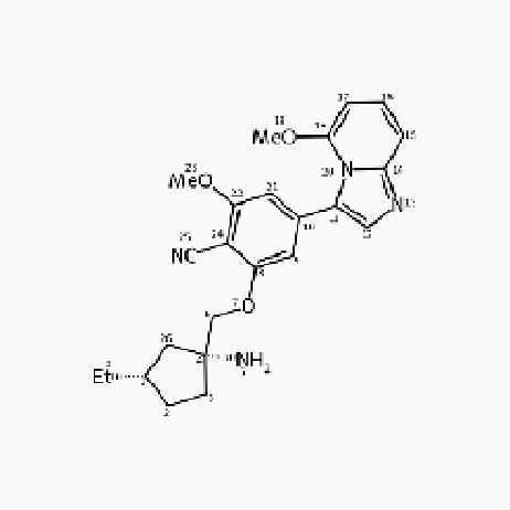 CC[C@H]1CC[C@](N)(COc2cc(-c3cnc4cccc(OC)n34)cc(OC)c2C#N)C1